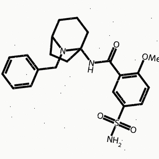 COc1ccc(S(N)(=O)=O)cc1C(=O)NC12CCCC(CC1)N2Cc1ccccc1